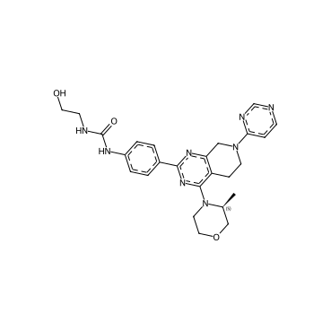 C[C@H]1COCCN1c1nc(-c2ccc(NC(=O)NCCO)cc2)nc2c1CCN(c1ccncn1)C2